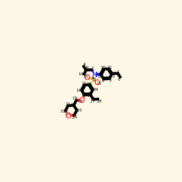 CCc1ccc(N(CC(C)C)S(=O)(=O)c2ccc(OCC3CCOCC3)c(CC)c2)cc1